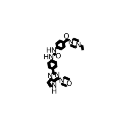 CCN1CCN(C(=O)c2ccc(NC(=O)Nc3ccc(-c4nc(N5CCOCC5)c5[nH]ccc5n4)cc3)cc2)CC1